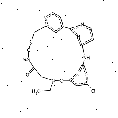 CCN1CC(=O)NCCCc2cc(ccn2)-c2nccc(n2)Nc2cc(Cl)cc(c2)C1